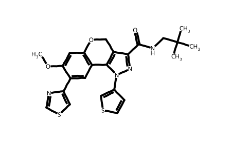 COc1cc2c(cc1-c1cscn1)-c1c(c(C(=O)NCC(C)(C)C)nn1-c1ccsc1)CO2